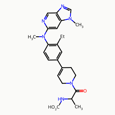 CCc1cc(C2=CCN(C(=O)C(C)NC(=O)O)CC2)ccc1N(C)c1cc2c(cn1)ncn2C